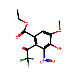 CCOC(=O)c1cc(OC)c(O)c([N+](=O)[O-])c1C(=O)C(F)(F)F